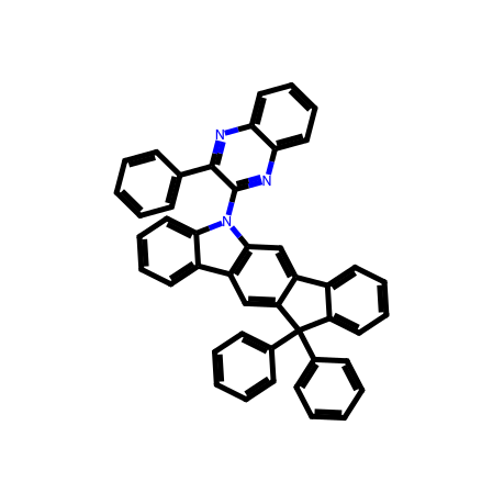 c1ccc(-c2nc3ccccc3nc2-n2c3ccccc3c3cc4c(cc32)-c2ccccc2C4(c2ccccc2)c2ccccc2)cc1